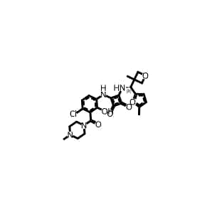 Cc1ccc([C@H](Nc2c(Nc3ccc(Cl)c(C(=O)N4CCN(C)CC4)c3O)c(=O)c2=O)C2(C)COC2)o1